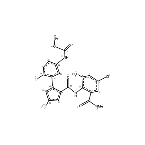 CNC(=O)c1cc(Cl)cc(C)c1NC(=O)c1cc(C(F)(F)F)nn1-c1cc(NC(=O)OC(C)C)ccc1Cl